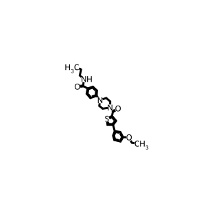 CCCNC(=O)c1ccc(N2CCN(C(=O)c3cc(-c4cccc(OCC)c4)cs3)CC2)cc1